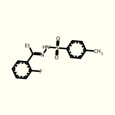 CC/C(=N\NS(=O)(=O)c1ccc(C)cc1)c1ccccc1F